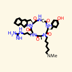 CNCCCCCCN1C(=O)[C@@H](Cc2ccc(O)cc2)NC(=O)CNC(=O)[C@H](Cc2ccc3ccccc3c2)NC(=O)[C@H](CCCNC(=N)N)NC(=O)[C@@H]1C